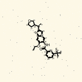 CCOc1cc2nc([C@H](C)C3CCOC3)cn2cc1NC(=O)c1cccc(C(F)(F)F)n1